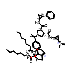 C=P(/C)=C1\C[C@@H]1NC(=O)[C@@H]1CN(C(=O)c2ccc(C(/C3=C\CCN(C(=O)CCCCCC)[C@@H](C(=O)NCCCCCC)CC3)C(F)(F)F)cc2)C[C@H]1C(=O)N[C@H]1C[C@@H]1c1ccccc1